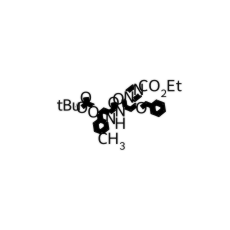 CCOC(=O)N1CCN(C(=O)C(CCOCc2ccccc2)NC(=O)c2cc(OCC(=O)OC(C)(C)C)c3ccc(C)cc3n2)CC1